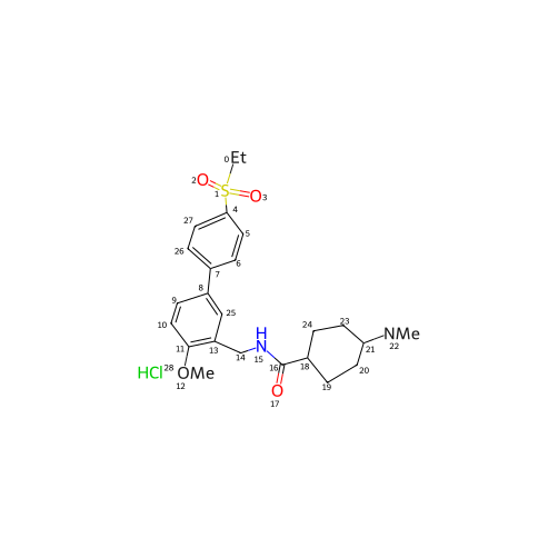 CCS(=O)(=O)c1ccc(-c2ccc(OC)c(CNC(=O)C3CCC(NC)CC3)c2)cc1.Cl